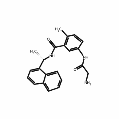 Cc1ccc(NC(=O)CN)cc1C(=O)N[C@@H](C)c1cccc2ccccc12